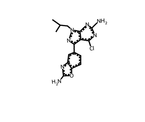 CC(C)Cn1nc(-c2ccc3oc(N)nc3c2)c2c(Cl)nc(N)nc21